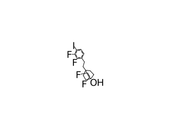 OC12CCC(CCc3ccc(I)c(F)c3F)(CC1)C(F)=C2F